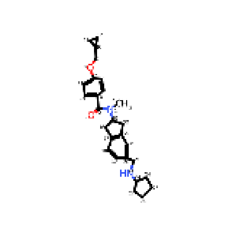 CN(C(=O)c1ccc(OCC2CC2)cc1)[C@@H]1Cc2ccc(CNC3CCCC3)cc2C1